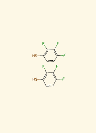 Fc1ccc(S)c(F)c1F.Fc1ccc(S)c(F)c1F